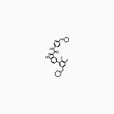 O=C(Nc1ccc(CN2CCCC2)nc1)c1n[nH]c2ccc(-c3cc(CN4CCCCC4)cc(F)c3F)cc12